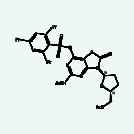 CC(=O)Nc1nc(OS(=O)(=O)c2c(C(C)C)cc(C(C)C)cc2C(C)C)c2sc(=O)n([C@H]3CC[C@@H](COC(C)=O)O3)c2n1